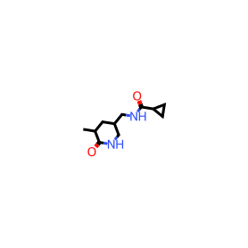 CC1CC(CNC(=O)C2CC2)CNC1=O